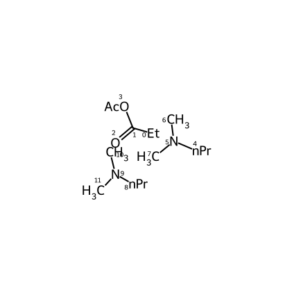 CCC(=O)OC(C)=O.CCCN(C)C.CCCN(C)C